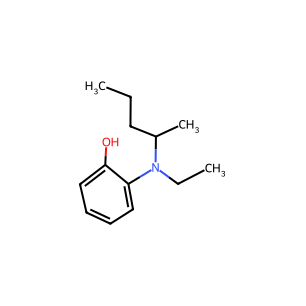 CCCC(C)N(CC)c1ccccc1O